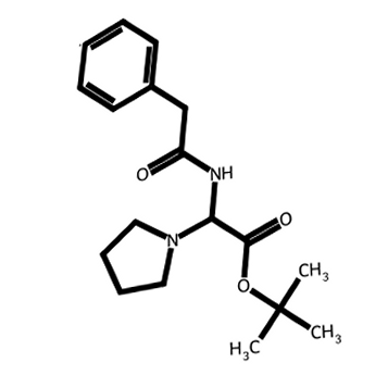 CC(C)(C)OC(=O)C(NC(=O)Cc1cc[c]cc1)N1CCCC1